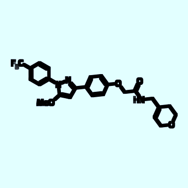 COc1cc(-c2ccc(OCC(=O)NCC3=CCOCC3)cc2)nn1-c1ccc(C(F)(F)F)cc1